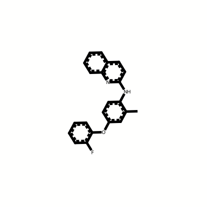 Cc1cc(Oc2ccccc2F)ccc1Nc1ccc2ccccc2n1